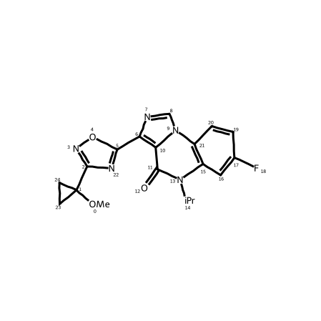 COC1(c2noc(-c3ncn4c3c(=O)n(C(C)C)c3cc(F)ccc34)n2)CC1